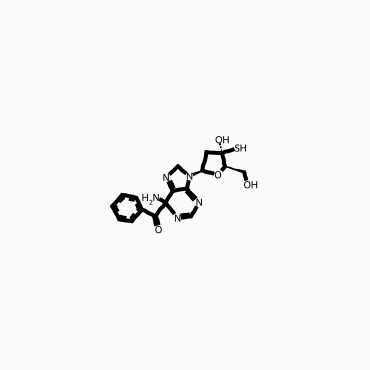 NC1(C(=O)c2ccccc2)N=CN=C2C1=NCN2[C@H]1C[C@@](O)(S)[C@@H](CO)O1